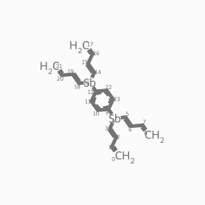 C=CC=[CH][Sb]([CH]=CC=C)[c]1cc[c]([Sb]([CH]=CC=C)[CH]=CC=C)cc1